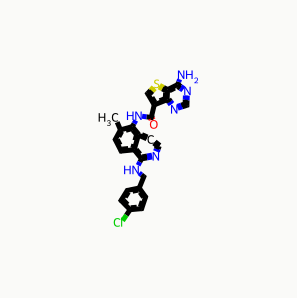 Cc1ccc2c(NCc3ccc(Cl)cc3)nccc2c1NC(=O)c1csc2c(N)ncnc12